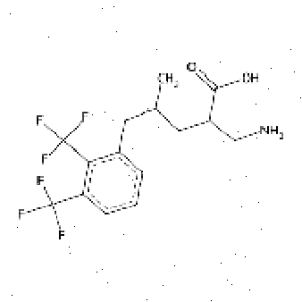 CC(Cc1cccc(C(F)(F)F)c1C(F)(F)F)CC(CN)C(=O)O